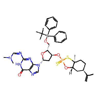 C=C(C)[C@@H]1CC[C@]2(C)SP(=S)(O[C@H]3C[C@H](n4cnc5c(=O)[nH]c(/N=C\N(C)C)nc54)O[C@@H]3CO[Si](c3ccccc3)(c3ccccc3)C(C)(C)C)O[C@H]2C1